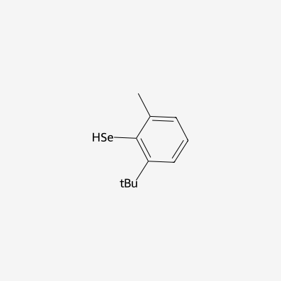 Cc1cccc(C(C)(C)C)c1[SeH]